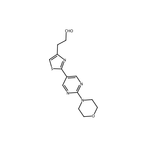 O=CCCc1csc(-c2cnc(N3CCOCC3)nc2)n1